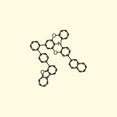 c1ccc2c(c1)Oc1cc(-c3ccccc3-c3ccc(-c4cccc5c4oc4ccccc45)cc3)cc3c1N2c1ccc(-c2ccc4ccccc4c2)cc1O3